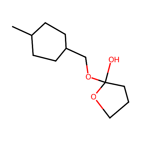 CC1CCC(COC2(O)CCCO2)CC1